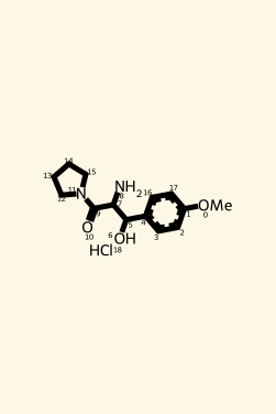 COc1ccc(C(O)C(N)C(=O)N2CCCC2)cc1.Cl